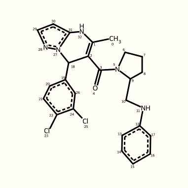 CC1=C(C(=O)N2CCCC2CNc2ccccc2)C(c2ccc(Cl)c(Cl)c2)n2nccc2N1